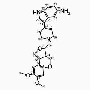 COc1cc2c(cc1OC)C1=NOC(CN3CC=C(c4c[nH]c5ccc(N)cc45)CC3)C1CO2